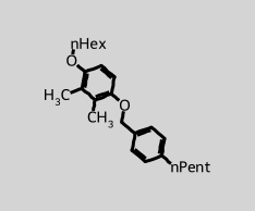 CCCCCCOc1ccc(OCc2ccc(CCCCC)cc2)c(C)c1C